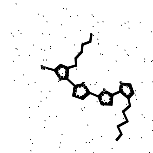 CCCCCCc1ccsc1-c1ccc(-c2ccc(-c3sc(Br)cc3CCCCCC)s2)s1